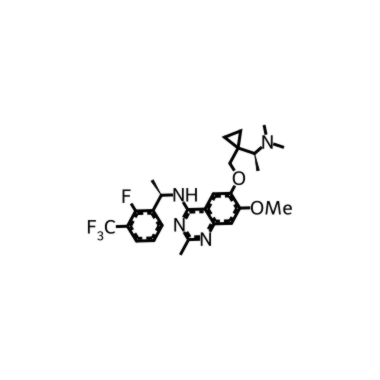 COc1cc2nc(C)nc(N[C@H](C)c3cccc(C(F)(F)F)c3F)c2cc1OCC1([C@H](C)N(C)C)CC1